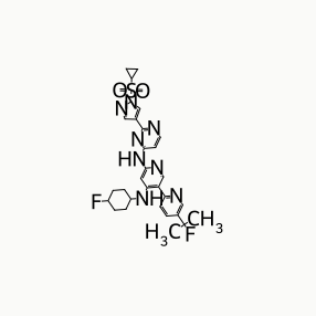 CC(C)(F)c1ccc(-c2cnc(Nc3ccnc(-c4cnn(S(=O)(=O)C5CC5)c4)n3)cc2NC2CCC(F)CC2)nc1